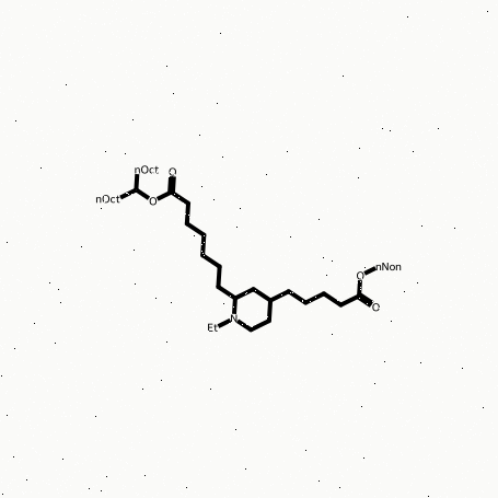 CCCCCCCCCOC(=O)CCCCC1CCN(CC)C(CCCCCCC(=O)OC(CCCCCCCC)CCCCCCCC)C1